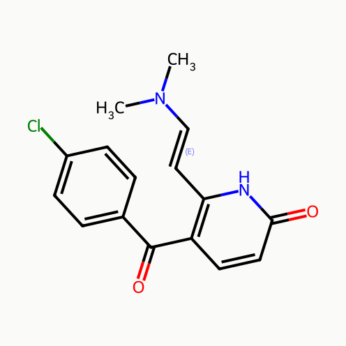 CN(C)/C=C/c1[nH]c(=O)ccc1C(=O)c1ccc(Cl)cc1